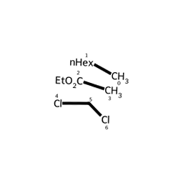 CCCCCCC.CCOC(C)=O.ClCCl